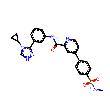 CNS(=O)(=O)c1ccc(-c2ccnc(C(=O)Nc3cccc(-c4nncn4C4CC4)c3)c2)cc1